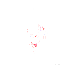 CCCCCCCCCCCCCC(=O)OC(CCCCCCCCCCC)CC(=O)OC1C(NC(=O)CC(CCCCCCCCCCC)OC(=O)CCCCCCCCCCC)[C@H](OCC2ON(OP(=O)(O)O)[C@@H](NC(=O)CC(O)CCCCCCCCCCC)C(O)[C@@H]2O)OC(CO)[C@H]1OP(=O)(O)O